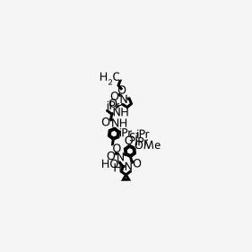 C=CCOC(=O)N1CCC[C@H]1C(=O)NC(CC(C)C)C(=O)Nc1ccc(COC(=O)N2c3cc(O[Si](C(C)C)(C(C)C)C(C)C)c(OC)cc3C(=O)N3CC4(CC4)C[C@H]3C2O)cc1